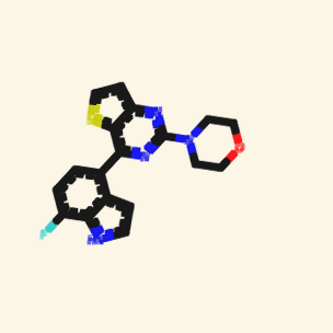 Fc1ccc(-c2nc(N3CCOCC3)nc3ccsc23)c2cc[nH]c12